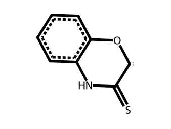 S=C1[C]Oc2ccccc2N1